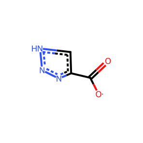 [O]C(=O)c1c[nH]nn1